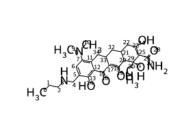 CCCNCc1cc(N(C)C)c2c(c1O)C(=O)C1=C(O)C3C(CC(O)=C(C(N)=O)[C@]3(C)O)CC1C2